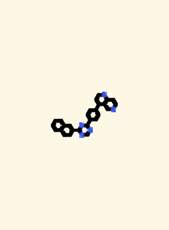 c1ccc2cc(-c3ncnc(-c4ccc(-c5ccnc6ccncc56)cc4)n3)ccc2c1